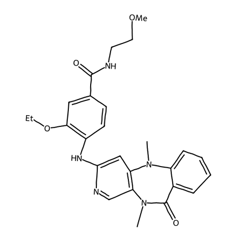 CCOc1cc(C(=O)NCCOC)ccc1Nc1cc2c(cn1)N(C)C(=O)c1ccccc1N2C